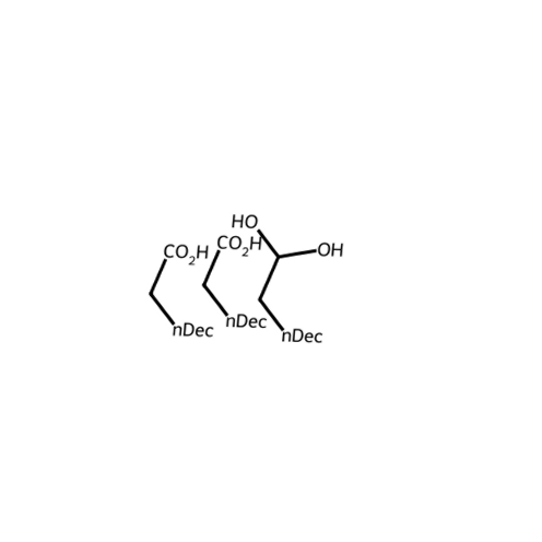 CCCCCCCCCCCC(=O)O.CCCCCCCCCCCC(=O)O.CCCCCCCCCCCC(O)O